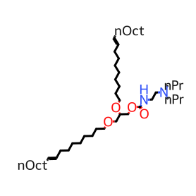 CCCCCCCCC=CCCCCCCCCOCC(COC(=O)NCCN(CCC)CCC)OCCCCCCCCC=CCCCCCCCC